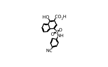 N#Cc1ccc(NS(=O)(=O)c2cc(C(=O)O)c(O)c3ccccc23)cc1